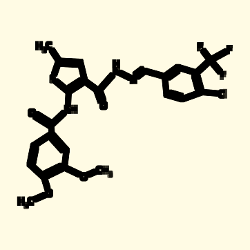 COc1ccc(C(=O)Nc2sc(C)cc2C(=O)NN=Cc2ccc(Cl)c(C(F)(F)F)c2)cc1OC